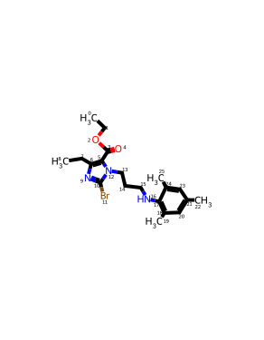 CCOC(=O)c1c(CC)nc(Br)n1CCCNc1c(C)cc(C)cc1C